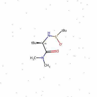 CN(C)C(=O)[C@H](N[S+]([O-])C(C)(C)C)C(C)(C)C